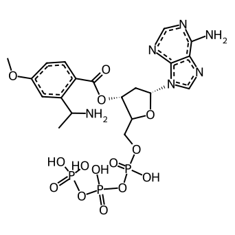 COc1ccc(C(=O)O[C@@H]2C[C@H](n3cnc4c(N)ncnc43)OC2COP(=O)(O)OP(=O)(O)OP(=O)(O)O)c(C(C)N)c1